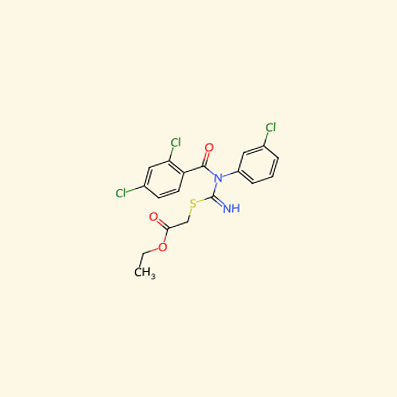 CCOC(=O)CSC(=N)N(C(=O)c1ccc(Cl)cc1Cl)c1cccc(Cl)c1